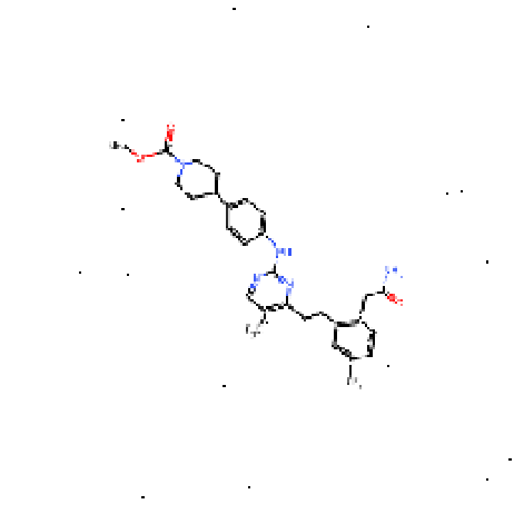 CC(C)(C)OC(=O)N1CCC(c2ccc(Nc3ncc(C(F)(F)F)c(CCc4cc(C(F)(F)F)ccc4CC(N)=O)n3)cc2)CC1